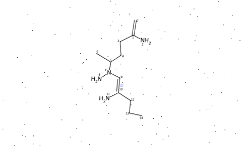 C=C(N)CCC(C)N(N)/C=C(\N)CCC